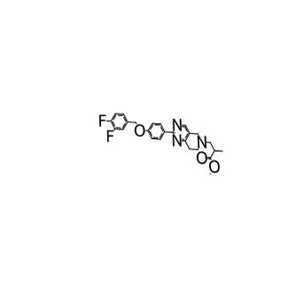 COC(=O)C(C)CN1CCc2nc(-c3ccc(OCc4ccc(F)c(F)c4)cc3)ncc2C1